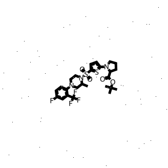 CC1CN(c2ccc(F)cc2C(F)(F)F)CCN1S(=O)(=O)c1ccc(N2CCCC2C(=O)OC(C)(C)C)s1